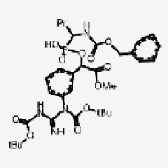 COC(=O)C(OP(=O)(O)C(NC(=O)OCc1ccccc1)C(C)C)c1cccc(N(C(=N)NC(=O)OC(C)(C)C)C(=O)OC(C)(C)C)c1